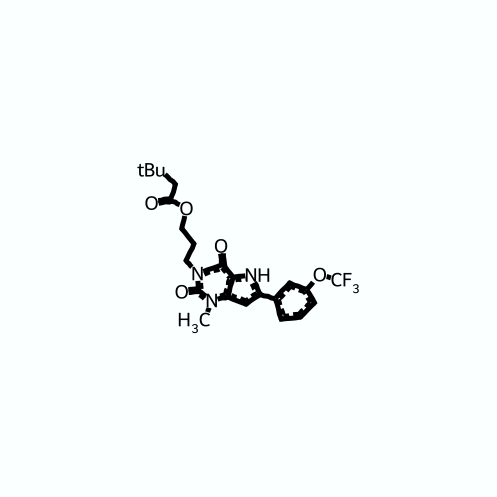 Cn1c(=O)n(CCCOC(=O)CC(C)(C)C)c(=O)c2[nH]c(-c3cccc(OC(F)(F)F)c3)cc21